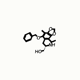 Cc1c(OCc2ccccc2)c2c(c3c1OCO3)C(C)N[C@H](CO)C2